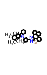 CC1(C)CCC(C)(C)c2cc3c(cc21)c1c(n3-c2cccc(-c3nc4c(c(-c5cccc6ccccc56)n3)C3CC=CC=C3S4)c2)C=CCC1